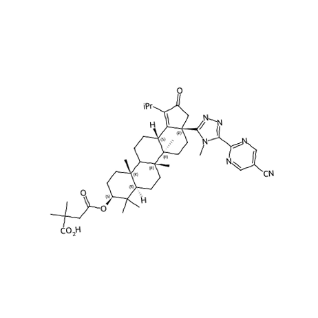 CC(C)C1=C2[C@H]3CCC4[C@@]5(C)CC[C@H](OC(=O)CC(C)(C)C(=O)O)C(C)(C)[C@@H]5CC[C@@]4(C)[C@]3(C)CC[C@@]2(c2nnc(-c3ncc(C#N)cn3)n2C)CC1=O